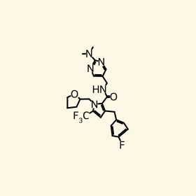 CN(C)c1ncc(CNC(=O)c2c(Cc3ccc(F)cc3)cc(C(F)(F)F)n2CC2CCCO2)cn1